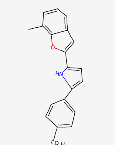 Cc1cccc2cc(-c3ccc(-c4ccc(C(=O)O)cc4)[nH]3)oc12